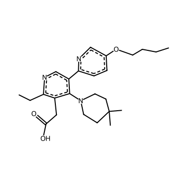 CCCCOc1ccc(-c2cnc(CC)c(CC(=O)O)c2N2CCC(C)(C)CC2)nc1